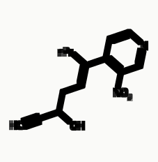 C#CC(O)CC=C(CCC)c1ccncc1[N+](=O)[O-]